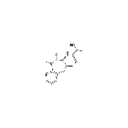 CC(O)C(=O)N[C@@H]1C(=O)N(C)c2ccccc2O[C@@H]1C